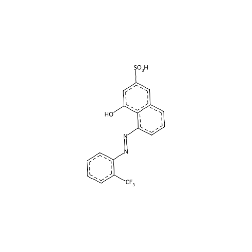 O=S(=O)(O)c1cc(O)c2c(N=Nc3ccccc3C(F)(F)F)cccc2c1